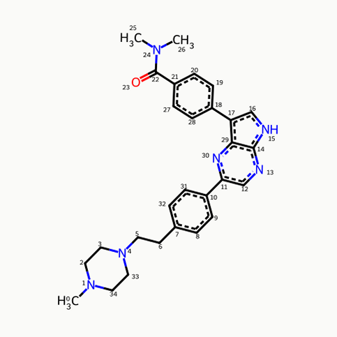 CN1CCN(CCc2ccc(-c3cnc4[nH]cc(-c5ccc(C(=O)N(C)C)cc5)c4n3)cc2)CC1